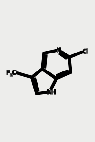 FC(F)(F)c1c[nH]c2cc(Cl)ncc12